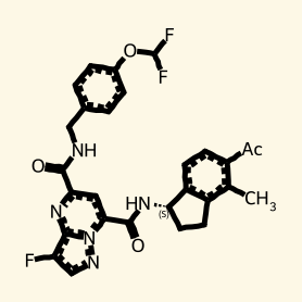 CC(=O)c1ccc2c(c1C)CC[C@@H]2NC(=O)c1cc(C(=O)NCc2ccc(OC(F)F)cc2)nc2c(F)cnn12